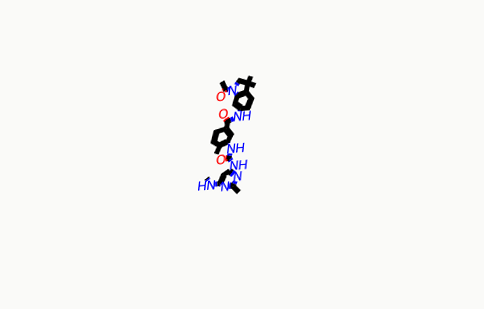 CNc1cc(NC(=O)Nc2cc(C(=O)Nc3ccc4c(c3)N(C(C)=O)CC4(C)C)ccc2C)nc(C)n1